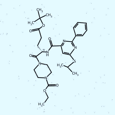 CCOC(=O)N1CCN(C(=O)[C@H](CCC(=O)OC(C)(C)C)NC(=O)c2cc(SC(C)C)nc(-c3ccccc3)n2)CC1